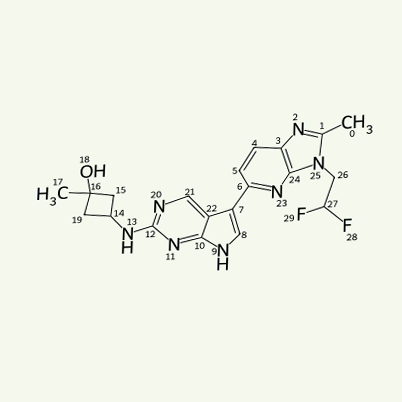 Cc1nc2ccc(-c3c[nH]c4nc(NC5CC(C)(O)C5)ncc34)nc2n1CC(F)F